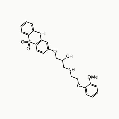 COc1ccccc1OCCNCC(O)COc1ccc2c(c1)Nc1ccccc1S2(=O)=O